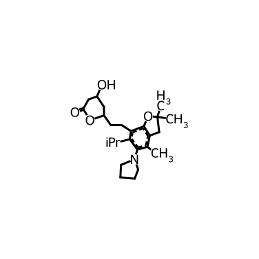 Cc1c2c(c(CCC3CC(O)CC(=O)O3)c(C(C)C)c1N1CCCC1)OC(C)(C)C2